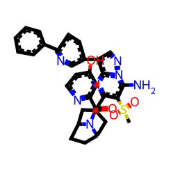 CS(=O)(=O)c1c(C2CC3CCC(C2)N3C(=O)c2cc(O)ccn2)nc2c(-c3ccc(-c4ccccc4)nc3)cnn2c1N